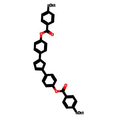 CCCCCCCCc1ccc(C(=O)Oc2ccc(C3=CC=C(c4ccc(OC(=O)c5ccc(CCCCCCCC)cc5)cc4)C3)cc2)cc1